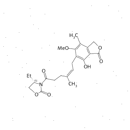 CC[C@H]1COC(=O)N1C(=O)CCC(C)=CCc1c(O)c2c(c(C)c1OC)COC2=O